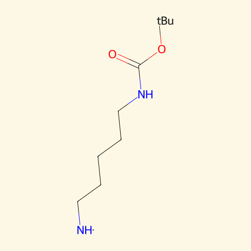 CC(C)(C)OC(=O)NCCCCC[NH]